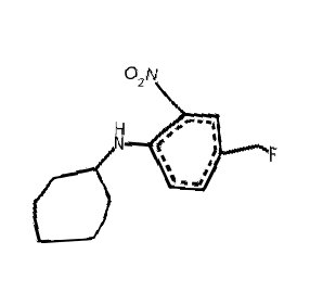 O=[N+]([O-])c1cc(F)ccc1NC1CCCCC1